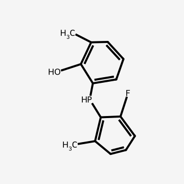 Cc1cccc(Pc2c(C)cccc2F)c1O